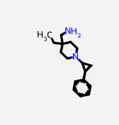 CCC1(CN)CCN(C2CC2c2ccccc2)CC1